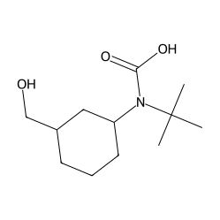 CC(C)(C)N(C(=O)O)C1CCCC(CO)C1